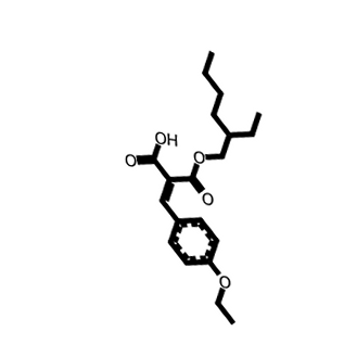 CCCCC(CC)COC(=O)C(=Cc1ccc(OCC)cc1)C(=O)O